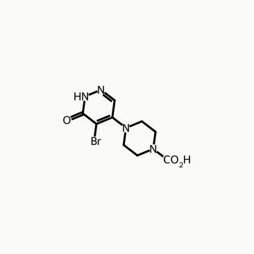 O=C(O)N1CCN(c2cn[nH]c(=O)c2Br)CC1